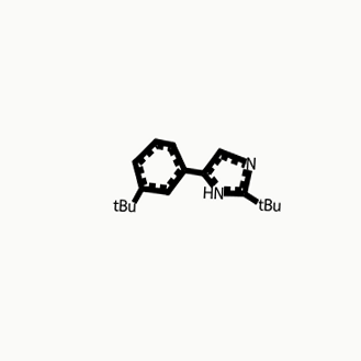 CC(C)(C)c1cccc(-c2cnc(C(C)(C)C)[nH]2)c1